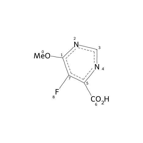 COc1ncnc(C(=O)O)c1F